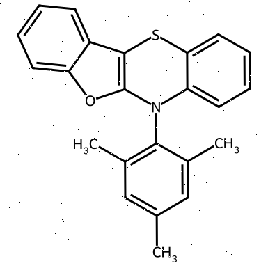 Cc1cc(C)c(N2c3ccccc3Sc3c2oc2ccccc32)c(C)c1